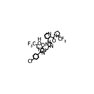 O=C(c1ncccc1-n1cnc(Cn2nc(-c3ccc(Cl)cc3)n(CC(O)C(F)(F)F)c2=O)n1)N1CCC[C@@H]1C(F)(F)F